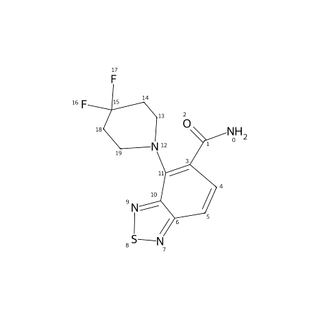 NC(=O)c1ccc2nsnc2c1N1CCC(F)(F)CC1